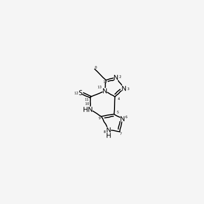 Cc1nnc2c3nc[nH]c3[nH]c(=S)n12